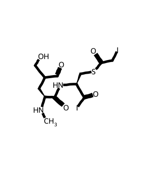 CN[C@@H](CC(C=O)CO)C(=O)N[C@@H](CSC(=O)CI)C(=O)I